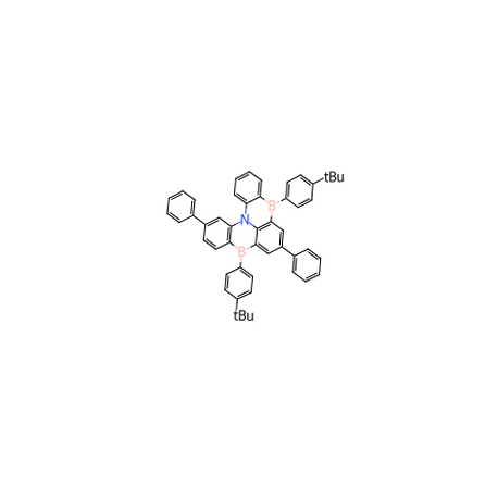 CC(C)(C)c1ccc(B2c3ccccc3N3c4cc(-c5ccccc5)ccc4B(c4ccc(C(C)(C)C)cc4)c4cc(-c5ccccc5)cc2c43)cc1